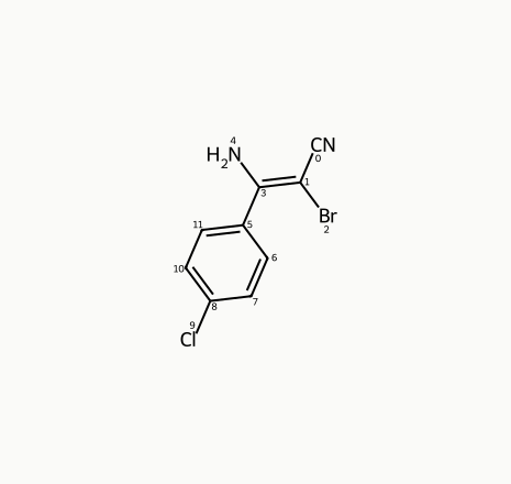 N#CC(Br)=C(N)c1ccc(Cl)cc1